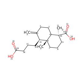 C=C1CCC2[C@](C)(CCC[C@]2(C)C(=O)O)[C@H]1CCCC(=O)O